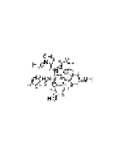 CN(C)CCn1c(C(=O)NCc2ccco2)c(C(c2ccc(O)cc2)c2ccc(O)cc2)c2ccccc21